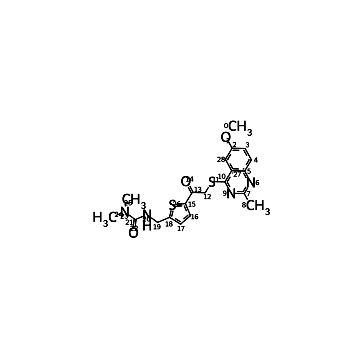 COc1ccc2nc(C)nc(SCC(=O)c3ccc(CNC(=O)N(C)C)s3)c2c1